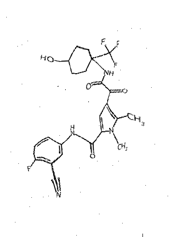 Cc1c(C(=O)C(=O)NC2(C(F)(F)F)CCC(O)CC2)cc(C(=O)Nc2ccc(F)c(C#N)c2)n1C